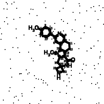 Cc1ccc(-c2cc3c(cn2)CCc2c4c(n(C)c2-3)CC2(CNC2)NC4=O)cn1